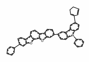 C1=CC(c2ccc3c(c2)c2cc(-c4ccc5c(c4)oc4c5ccc5c6ccc(-c7ccccc7)cc6oc54)ccc2n3-c2ccccc2)=CCC1